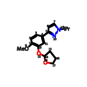 COc1ccc(-c2ccn(C(C)C)n2)cc1OC1CCCO1